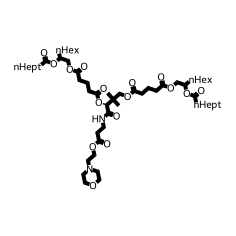 CCCCCCCC(=O)OC(CCCCCC)COC(=O)CCCC(=O)OCC(C)(C)[C@@H](OC(=O)CCCC(=O)OCC(CCCCCC)OC(=O)CCCCCCC)C(=O)NCCC(=O)OCCN1CCOCC1